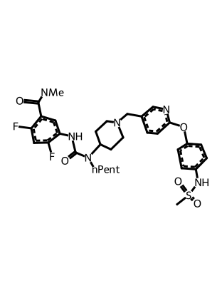 CCCCCN(C(=O)Nc1cc(C(=O)NC)c(F)cc1F)C1CCN(Cc2ccc(Oc3ccc(NS(C)(=O)=O)cc3)nc2)CC1